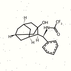 O=C(N[C@@H](c1ccccc1)[C@H]1[C@@H]2C[C@H]3C[C@@H](C2)CC1(O)C3)C(F)(F)F